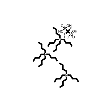 CCCC[N+](CCCC)(CCCC)CCCC.CCCC[N+](CCCC)(CCCC)CCCC.CCCC[N+](CCCC)(CCCC)CCCC.O=P(O)(O)C(F)(F)P(=O)(O)O